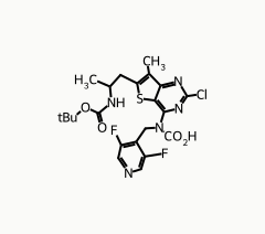 Cc1c(CC(C)NC(=O)OC(C)(C)C)sc2c(N(Cc3c(F)cncc3F)C(=O)O)nc(Cl)nc12